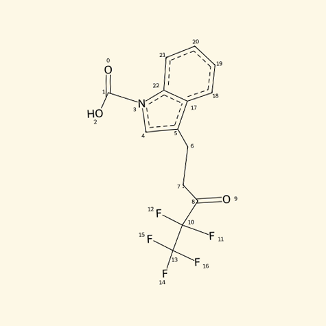 O=C(O)n1cc(C[CH]C(=O)C(F)(F)C(F)(F)F)c2ccccc21